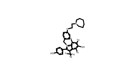 [2H]c1c(O)c([2H])c2c(C([2H])([2H])[2H])c(-c3ccc(O)cc3)n(Cc3ccc(OCCN4CCCCCC4)cc3)c2c1[2H]